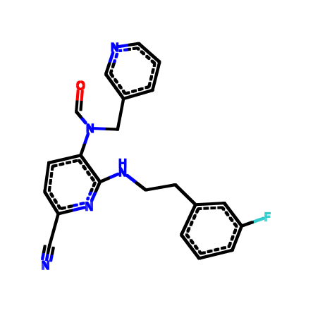 N#Cc1ccc(N(C=O)Cc2cccnc2)c(NCCc2cccc(F)c2)n1